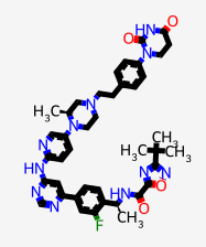 C[C@@H](NC(=O)c1nc(C(C)(C)C)no1)c1ccc(-c2cc(Nc3ccc(N4CCN(CCc5ccc(N6CCC(=O)NC6=O)cc5)C[C@@H]4C)cn3)ncn2)cc1F